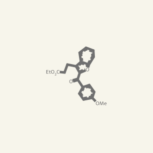 CCOC(=O)CCc1c(C(=O)c2ccc(OC)cc2)oc2ccccc12